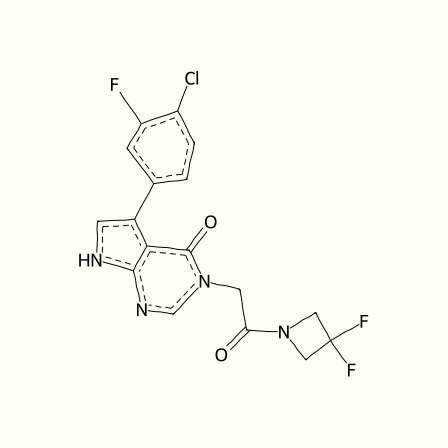 O=C(Cn1cnc2[nH]cc(-c3ccc(Cl)c(F)c3)c2c1=O)N1CC(F)(F)C1